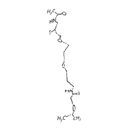 CC(=O)NCC(F)COCCCOCCCNC(=O)COC(C)C